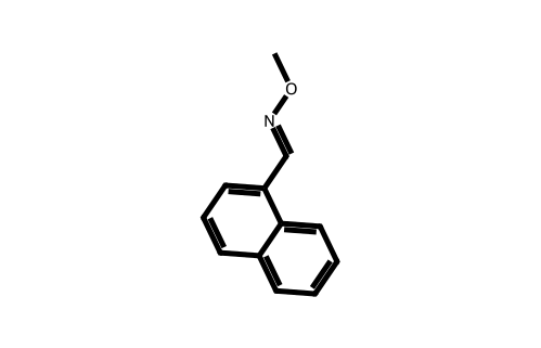 CON=Cc1cccc2ccccc12